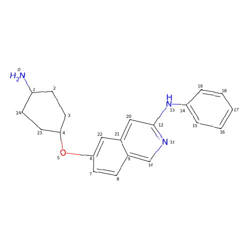 NC1CCC(Oc2ccc3cnc(Nc4ccccc4)cc3c2)CC1